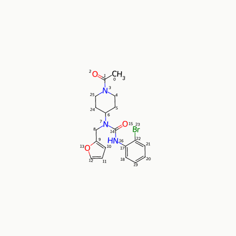 CC(=O)N1CCC(N(Cc2ccco2)C(=O)Nc2ccccc2Br)CC1